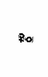 CC1(C)CN(C2CCC(F)(F)CC2)c2cccnc21